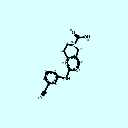 N#Cc1cccc(Nc2ncc3c(n2)CCN(C(=O)O)C3)c1